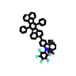 CC12CCCCC1(C)N(c1c(F)c(F)c(F)c(F)c1F)c1ccc(-c3ccc4c5c(-c6ccccc6)c6c7cccc8cccc(c6c(-c6ccccc6)c5c5cccc3c54)c87)cc12